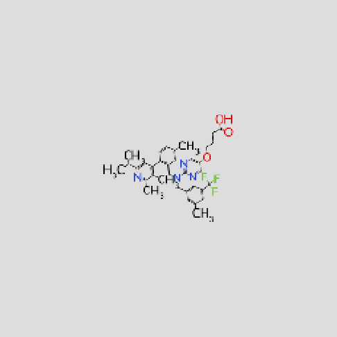 Cc1cc(CN(Cc2cc(C)ccc2-c2cc(C(C)C)nc(C)c2C)c2ncc(OCCCC(=O)O)cn2)cc(C(F)(F)F)c1